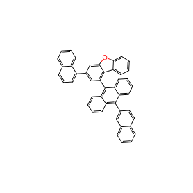 c1ccc2cc(-c3c4ccccc4c(-c4cc(-c5cccc6ccccc56)cc5oc6ccccc6c45)c4ccccc34)ccc2c1